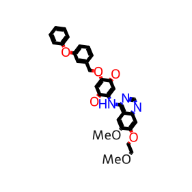 COCCOc1cc2ncnc(NC3=CC(=O)C(OCc4cccc(Oc5ccccc5)c4)=CC3=O)c2cc1OC